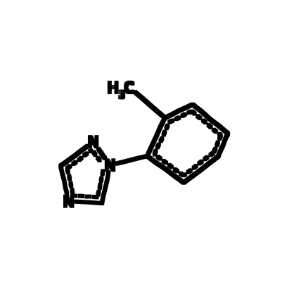 Cc1ccccc1-n1cncn1